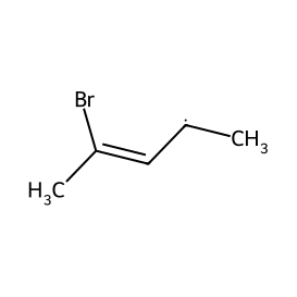 C[CH]/C=C(/C)Br